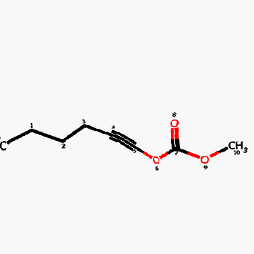 CCCCC#COC(=O)OC